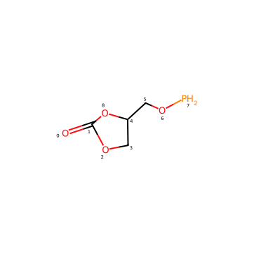 O=C1OCC(COP)O1